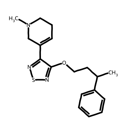 CC(CCOc1nsnc1C1=CCCN(C)C1)c1ccccc1